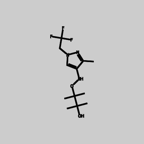 Cc1nn(CC(F)(F)F)cc1BOC(C)(C)C(C)(C)O